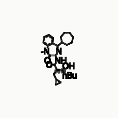 CCCC[C@H](O)[C@@H](CC1CC1)C(=O)NC1N=C(C2CCCCCC2)c2ccccc2N(C)C1=O